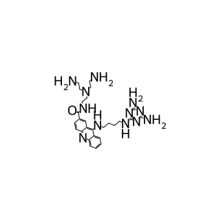 NCCN(CCN)CCNC(=O)c1ccc2nc3ccccc3c(NCCCCNc3nc(N)nc(N)n3)c2c1